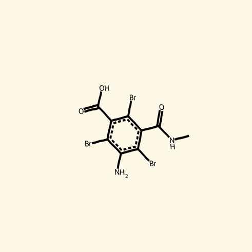 CNC(=O)c1c(Br)c(N)c(Br)c(C(=O)O)c1Br